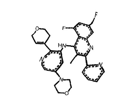 Cc1c(-c2ccccn2)nc2cc(F)cc(F)c2c1Nc1cc(N2CCOCC2)cnc1C1=CCOCC1